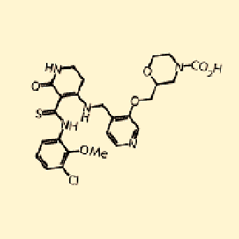 COc1c(Cl)cccc1NC(=S)C1=C(NCc2ccncc2OC[C@@H]2CN(C(=O)O)CCO2)CCNC1=O